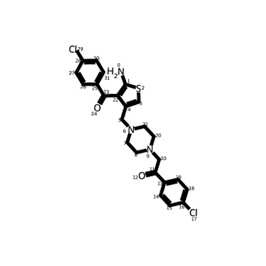 Nc1scc(CN2CCN(CC(=O)c3ccc(Cl)cc3)CC2)c1C(=O)c1ccc(Cl)cc1